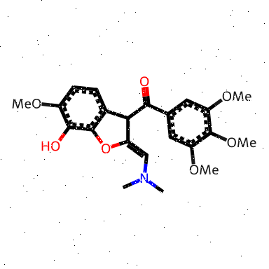 COc1ccc2c(c1O)O/C(=C\N(C)C)C2C(=O)c1cc(OC)c(OC)c(OC)c1